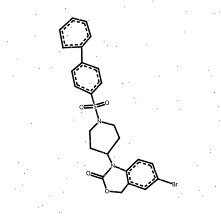 O=C1OCc2cc(Br)ccc2N1C1CCN(S(=O)(=O)c2ccc(-c3ccccc3)cc2)CC1